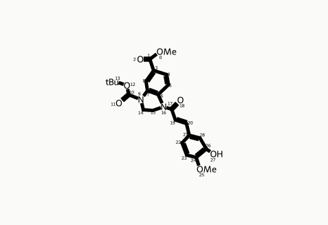 COC(=O)c1ccc2c(c1)N(C(=O)OC(C)(C)C)CCN2C(=O)C=Cc1ccc(OC)c(O)c1